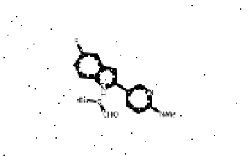 CC(C)(C)OC=O.CNc1ccc(-c2cc3cc(F)ccc3[nH]2)cn1